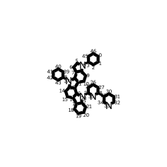 c1ccc(-n2ccc3c2ccc2c4c(ccc5c6ccccc6n(-c6cccc(-c7cccnc7)n6)c54)n(-c4ccccc4)c23)cc1